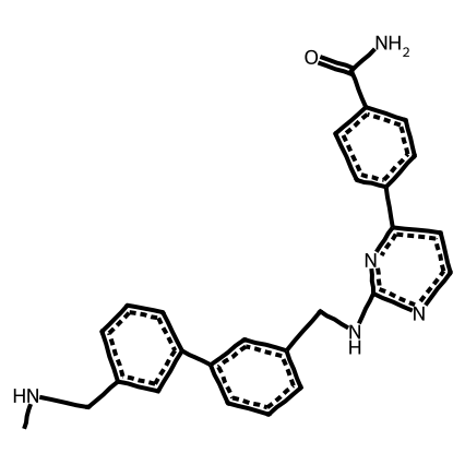 CNCc1cccc(-c2cccc(CNc3nccc(-c4ccc(C(N)=O)cc4)n3)c2)c1